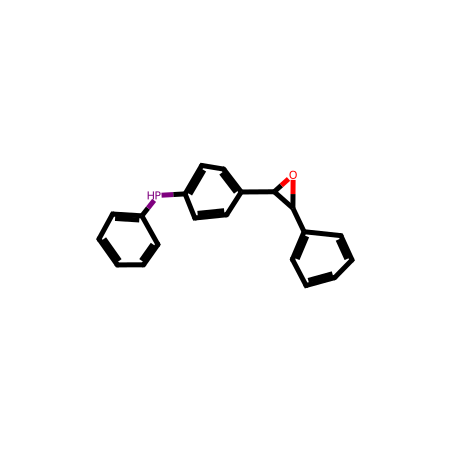 c1ccc(Pc2ccc(C3OC3c3ccccc3)cc2)cc1